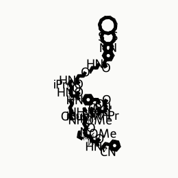 CC[C@H](C)[C@@H]([C@@H](CC(=O)N1CCC[C@H]1[C@H](OC)[C@@H](C)C(=O)N[C@H](C#N)Cc1ccccc1)OC)N(C)C(=O)[C@@H](NC(=O)[C@H](C(C)C)N(C)C(=O)OCc1ccc(NC(=O)[C@H](CCCNC(N)=O)NC(=O)[C@@H](NC(=O)CCOCCCNC(=O)c2ccc3nc4c(nc3c2)CSC2CCCCCCCCC(C2)SC4)C(C)C)cc1)C(C)C